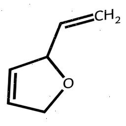 C=CC1C=CCO1